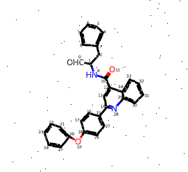 O=CC(Cc1ccccc1)NC(=O)c1cc(-c2ccc(Oc3ccccc3)cc2)nc2ccccc12